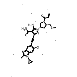 C=CC(=O)N1C[C@@H](n2nc(C#Cc3cc4nc(C)n(C5CC5)c4cc3Cl)c(C(N)=O)c2N)C[C@@H]1COC